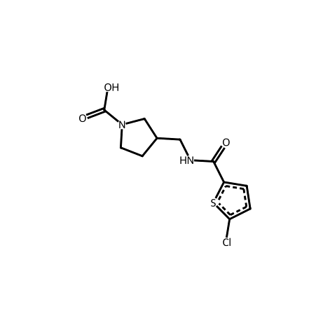 O=C(NCC1CCN(C(=O)O)C1)c1ccc(Cl)s1